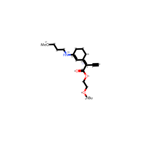 C#C/C(C(=O)OCCOCCCC)=C1/C=C(NCCCOC)CCC1